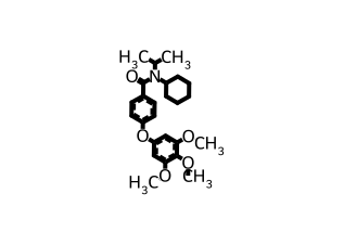 COc1cc(Oc2ccc(C(=O)N(C(C)C)C3CCCCC3)cc2)cc(OC)c1OC